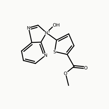 COC(=O)c1ccc([N+]2(O)C=Nc3cccnc32)s1